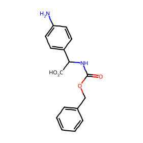 Nc1ccc(C(NC(=O)OCc2ccccc2)C(=O)O)cc1